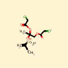 C=C(C)C(=O)O.CC(O)(COC(=O)CCl)OC(=O)CCl